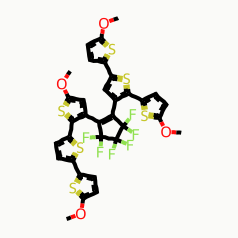 COc1ccc(-c2ccc(-c3sc(OC)cc3C3=C(c4cc(-c5ccc(OC)s5)sc4-c4ccc(OC)s4)C(F)(F)C(F)(F)C3(F)F)s2)s1